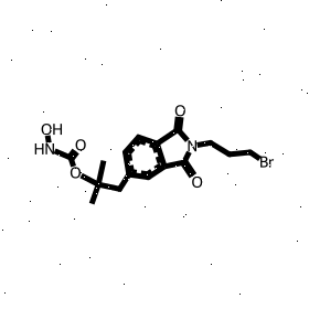 CC(C)(Cc1ccc2c(c1)C(=O)N(CCCBr)C2=O)OC(=O)NO